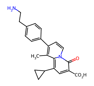 Cc1c(-c2ccc(CCN)cc2)ccn2c(=O)c(C(=O)O)cc(C3CC3)c12